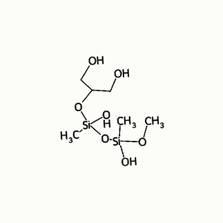 CO[Si](C)(O)O[Si](C)(O)OC(CO)CO